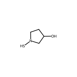 OC1CCN(S)C1